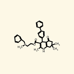 CC1=C(C(=O)OCCN(C)Cc2ccccc2)C(c2ccc(-c3ccccc3)cc2)C2=C(CC(C)(C)CC2=O)N1